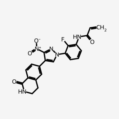 C=CC(=O)Nc1cccc(-n2cc(-c3ccc4c(c3)CCNC4=O)c([N+](=O)[O-])n2)c1F